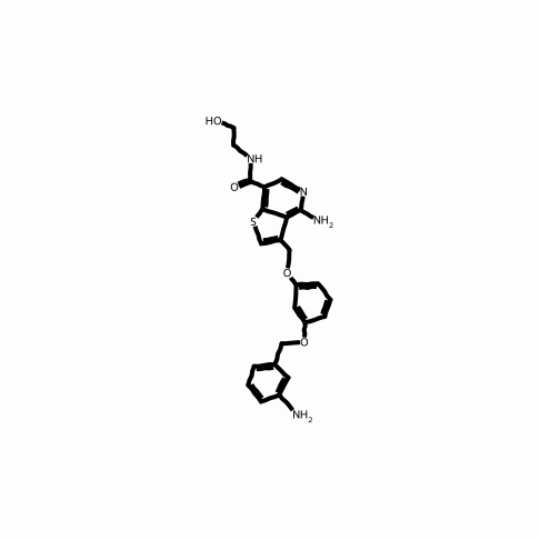 Nc1cccc(COc2cccc(OCc3csc4c(C(=O)NCCO)cnc(N)c34)c2)c1